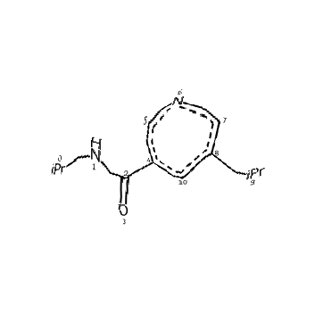 CC(C)NC(=O)c1cncc(C(C)C)c1